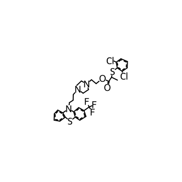 CC(Sc1c(Cl)cccc1Cl)C(=O)OCCN1CCN(CCCN2c3ccccc3Sc3ccc(C(F)(F)F)cc32)CC1